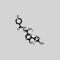 CC(C)(C)c1nnc(-c2nc(/C(N)=N/NC(=O)C3CCNCC3)cnc2N)o1